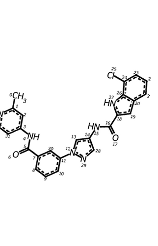 Cc1cc(NC(=O)c2cccc(-n3cc(NC(=O)c4cc5cccc(Cl)c5[nH]4)cn3)c2)ccn1